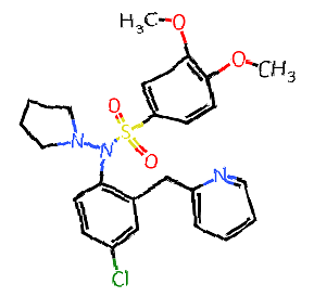 COc1ccc(S(=O)(=O)N(c2ccc(Cl)cc2Cc2ccccn2)N2CCCC2)cc1OC